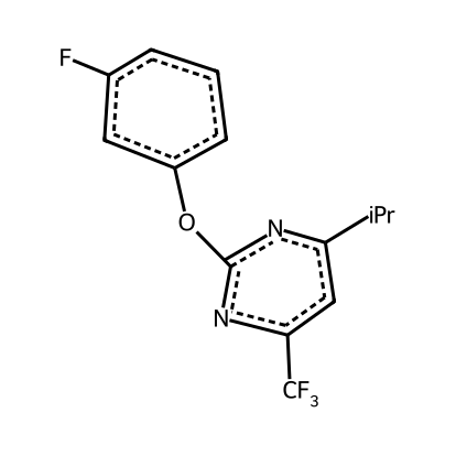 CC(C)c1cc(C(F)(F)F)nc(Oc2cccc(F)c2)n1